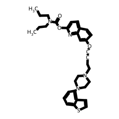 CCCN(CCC)C(=O)Oc1ccc2ccc(OCCCCN3CCN(c4cccc5sccc45)CC3)cc2n1